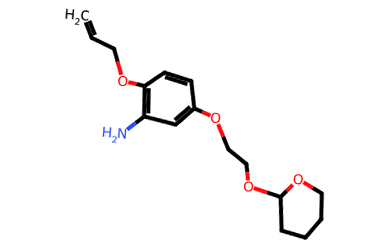 C=CCOc1ccc(OCCOC2CCCCO2)cc1N